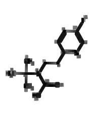 CC(C)(C)N(CCc1ccc(F)cn1)C(=O)O